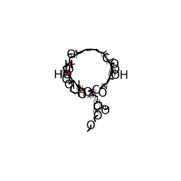 CCOCCO[C@@H]1CC[C@@H](C[C@@H](C)[C@@H]2CC(=O)[C@H](C)C=C(C)[C@@H](O)[C@@H](OC)C(=O)[C@H](C)C[C@H](C)C=CC=CC=C(C)[C@@H](OC)C[C@@H]3CC[C@@H](C)[C@@](O)(O3)C(=O)C(=O)N3CCCC[C@H]3C(=O)O2)C[C@H]1OC